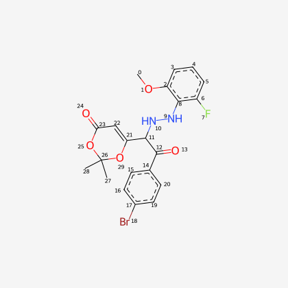 COc1cccc(F)c1NNC(C(=O)c1ccc(Br)cc1)C1=CC(=O)OC(C)(C)O1